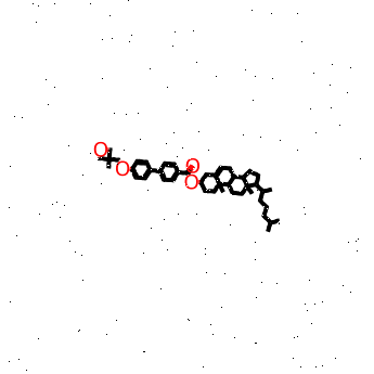 CC(C)CCCC(C)C1CCC2C3CC=C4CC(OC(=O)c5ccc(-c6ccc(OCC7(C)COC7)cc6)cc5)CCC4(C)C3CCC12C